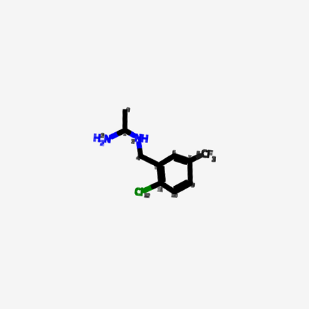 CC(N)NCc1cc(C(F)(F)F)ccc1Cl